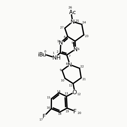 CCC(C)Nc1nc2c(nc1N1CCC(Oc3ccc(F)cc3F)CC1)CCN(C(C)=O)C2